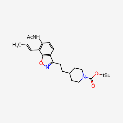 CC=Cc1c(NC(C)=O)ccc2c(CCC3CCN(C(=O)OC(C)(C)C)CC3)noc12